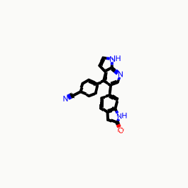 N#CC1CC=C(c2c(-c3ccc4c(c3)NC(=O)C4)cnc3[nH]ccc23)CC1